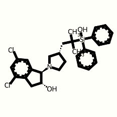 CC(C)(C[C@@H]1CCN([C@@H]2c3cc(Cl)cc(Cl)c3C[C@H]2O)C1)[Si](O)(c1ccccc1)c1ccccc1